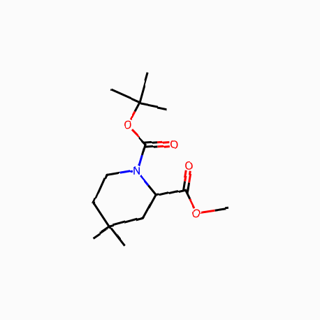 COC(=O)C1CC(C)(C)CCN1C(=O)OC(C)(C)C